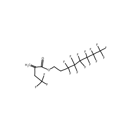 C=C(CC(F)(F)F)C(=O)OCCC(F)(F)C(F)(F)C(F)(F)C(F)(F)C(F)(F)C(F)(F)F